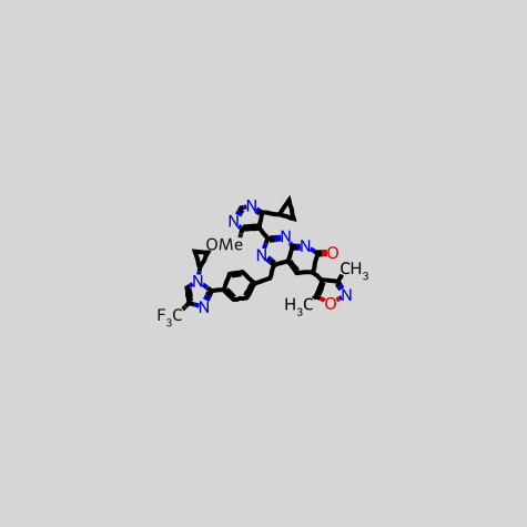 COc1ncnc(C2CC2)c1-c1nc(Cc2ccc(-c3nc(C(F)(F)F)cn3C3CC3)cc2)c2c(n1)=NC(=O)C(c1c(C)noc1C)C=2